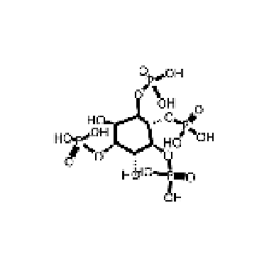 O=P(O)(O)O[C@H]1[C@@H](O)[C@@H](OP(=O)(O)O)[C@H](OP(=O)(O)O)[C@@H](OP(=O)(O)O)[C@@H]1O